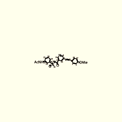 COc1ccc(C#Cc2cncc(C(=O)N=S(C)(=O)c3cccc(NC(C)=O)c3)c2)cc1